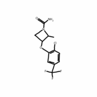 CC1C(Oc2cc(C(F)(F)F)ccc2Cl)CN1C(N)=O